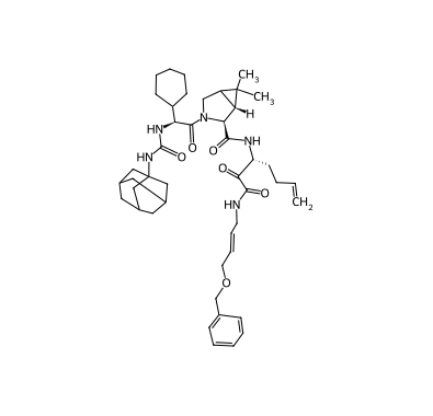 C=CCC[C@@H](NC(=O)[C@@H]1[C@@H]2C(CN1C(=O)[C@@H](NC(=O)NC13CC4CC(CC(C4)C1)C3)C1CCCCC1)C2(C)C)C(=O)C(=O)NC/C=C/COCc1ccccc1